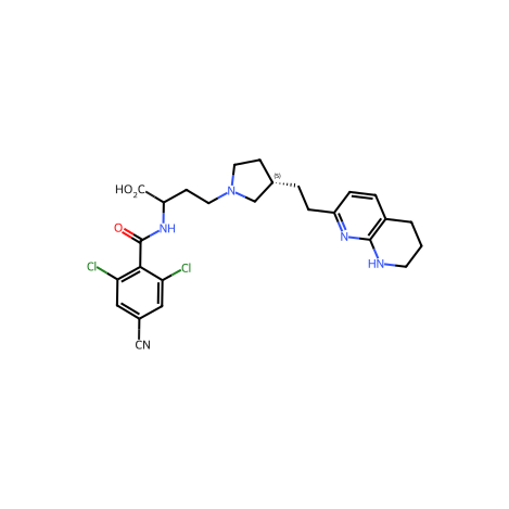 N#Cc1cc(Cl)c(C(=O)NC(CCN2CC[C@H](CCc3ccc4c(n3)NCCC4)C2)C(=O)O)c(Cl)c1